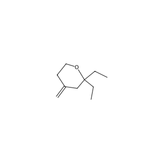 C=C1CCOC(CC)(CC)C1